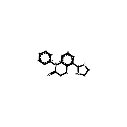 O=C1CCc2c(C3OCCO3)cccc2N1c1ccccc1